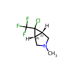 CN1C[C@@H]2[C@H](C1)C2(Cl)C(F)(F)F